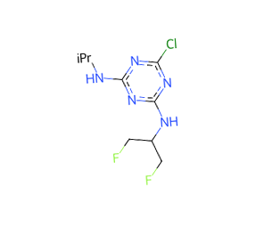 CC(C)Nc1nc(Cl)nc(NC(CF)CF)n1